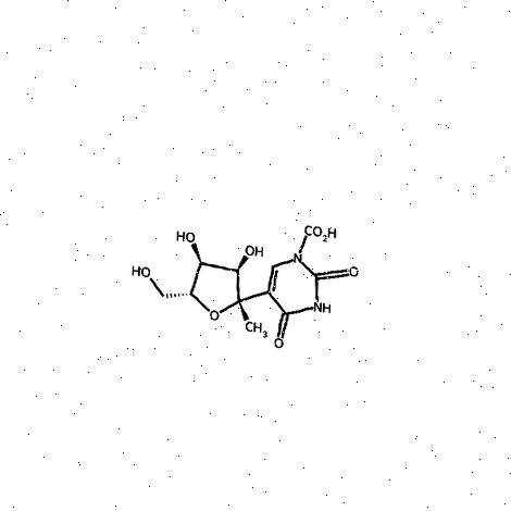 C[C@@]1(c2cn(C(=O)O)c(=O)[nH]c2=O)O[C@H](CO)[C@@H](O)[C@H]1O